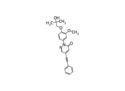 COc1cc(-n2ncc(C#Cc3ccccc3)cc2=O)ccc1OCC(C)(C)O